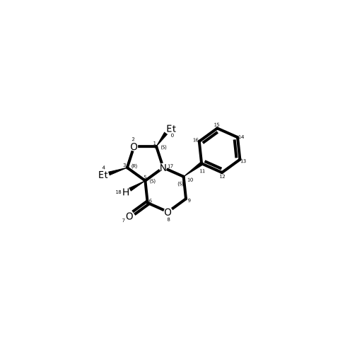 CC[C@@H]1O[C@H](CC)[C@H]2C(=O)OC[C@H](c3ccccc3)N12